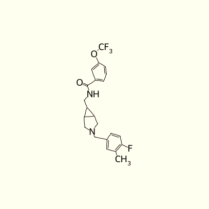 Cc1cc(CN2CC3C(CNC(=O)c4cccc(OC(F)(F)F)c4)C3C2)ccc1F